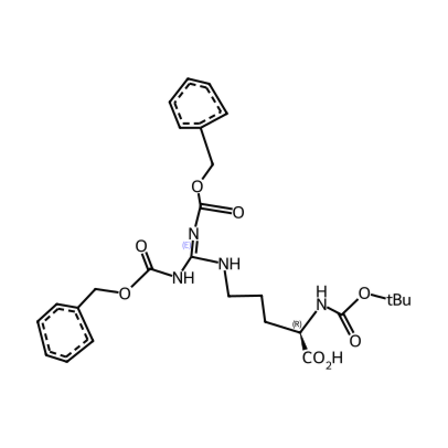 CC(C)(C)OC(=O)N[C@H](CCCN/C(=N\C(=O)OCc1ccccc1)NC(=O)OCc1ccccc1)C(=O)O